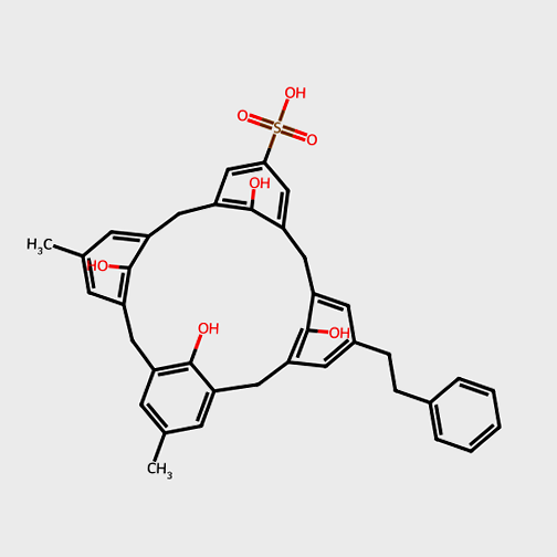 Cc1cc2c(O)c(c1)Cc1cc(CCc3ccccc3)cc(c1O)Cc1cc(S(=O)(=O)O)cc(c1O)Cc1cc(C)cc(c1O)C2